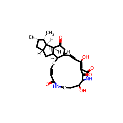 CC[C@H]1C[C@@H]2C[C@@H]3[C@@H]4C/C=C\C(=O)NCCC(O)C5NC(=O)/C(=C(O)\C=C\[C@H]4CC(=O)[C@@H]3[C@@H]2[C@H]1C)C5=O